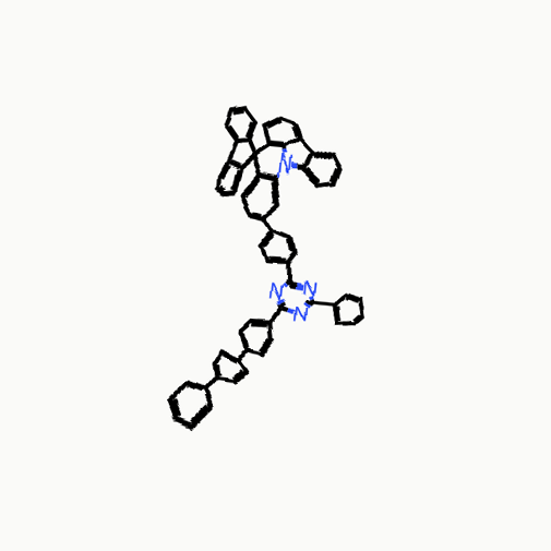 c1ccc(-c2ccc(-c3ccc(-c4nc(-c5ccccc5)nc(-c5ccc(-c6ccc7c(c6)-n6c8ccccc8c8cccc(c86)C76c7ccccc7-c7ccccc76)cc5)n4)cc3)cc2)cc1